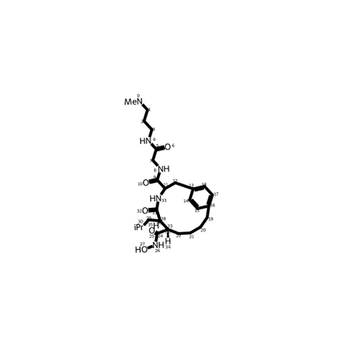 CNCCCNC(=O)CNC(=O)C1Cc2ccc(cc2)CCCC[C@H](C(=O)NO)[C@@H](CC(C)C)C(=O)N1